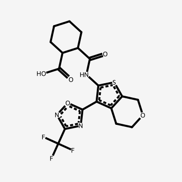 O=C(O)C1CCCCC1C(=O)Nc1sc2c(c1-c1nc(C(F)(F)F)no1)CCOC2